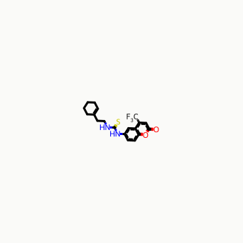 O=c1cc(C(F)(F)F)c2cc(NC(=S)NCCC3=CCCCC3)ccc2o1